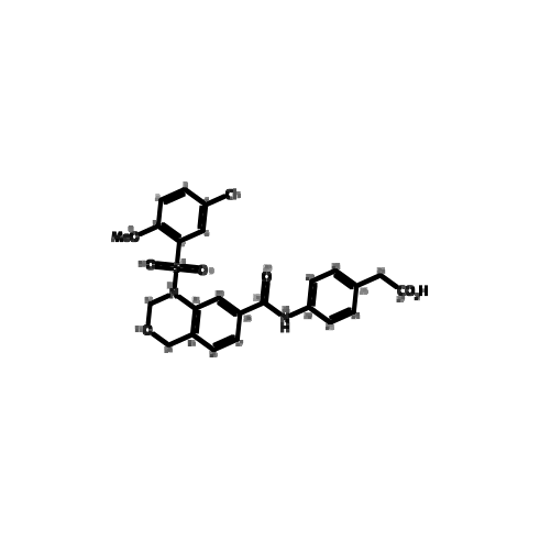 COc1ccc(Cl)cc1S(=O)(=O)N1COCc2ccc(C(=O)Nc3ccc(CC(=O)O)cc3)cc21